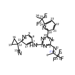 C/C(=N\c1nc(Nc2ccnc(C3(C#N)CC3)c2)nc(-c2cccc(C(C)(F)F)n2)n1)C(F)(F)F